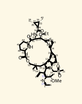 C=C/C(=C(\N=C/C)[C@H](C)OC)c1c2c3cc(ccc3n1CS(C)(=O)=O)-c1csc(n1)[C@@H](OCC)[C@H](NC(=O)[C@H]1[C@H](C)[C@@H]1C)C(=O)N1CCC[C@H](N1)C(=O)OCC(C)(C)C2